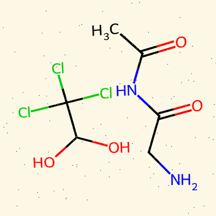 CC(=O)NC(=O)CN.OC(O)C(Cl)(Cl)Cl